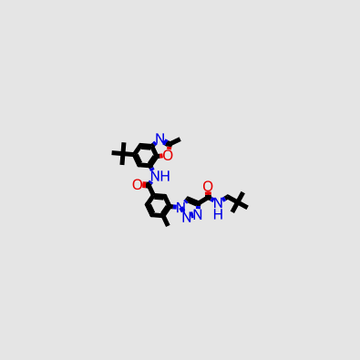 Cc1nc2cc(C(C)(C)C)cc(NC(=O)c3ccc(C)c(-n4cc(C(=O)NCC(C)(C)C)nn4)c3)c2o1